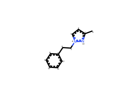 Cc1ccn(CCc2ccccc2)n1